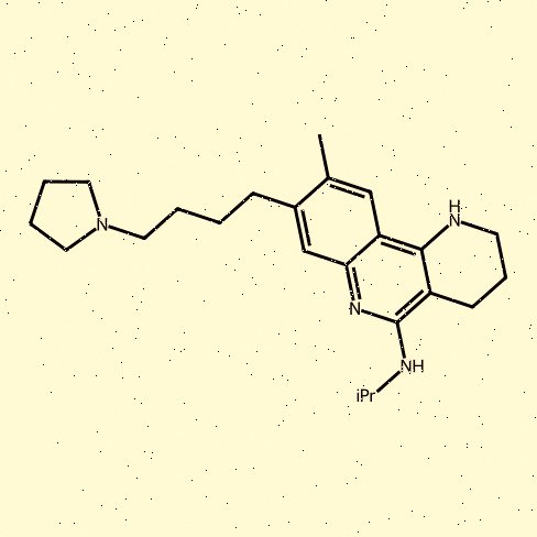 Cc1cc2c3c(c(NC(C)C)nc2cc1CCCCN1CCCC1)CCCN3